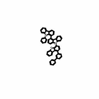 c1ccc(-c2cccc(-c3ccc(-n4c5ccccc5c5c(-c6cccc7c8ccccc8n(-c8ccccc8)c67)cccc54)c4sc5ccccc5c34)c2)cc1